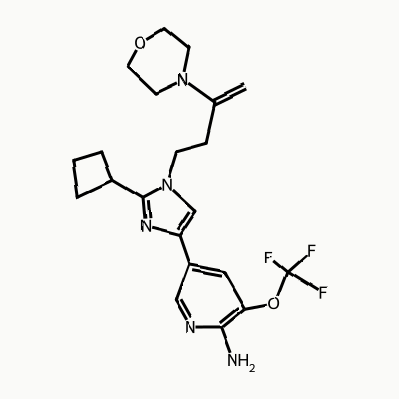 C=C(CCn1cc(-c2cnc(N)c(OC(F)(F)F)c2)nc1C1CCC1)N1CCOCC1